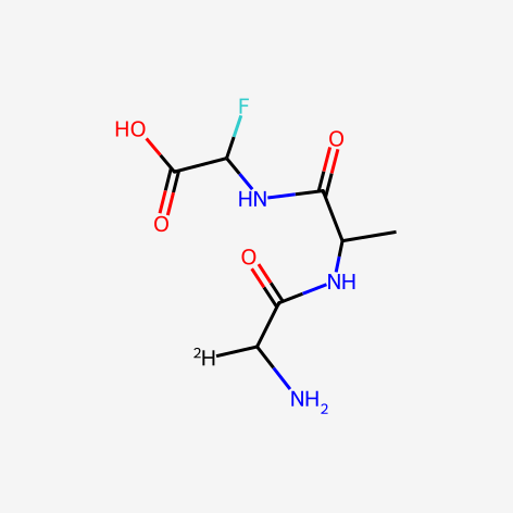 [2H]C(N)C(=O)NC(C)C(=O)NC(F)C(=O)O